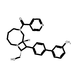 Cc1cccc(-c2ccc(C3[C@H]4CN(C(=O)c5ccncc5)CCCCN4[C@H]3CO)cc2)c1